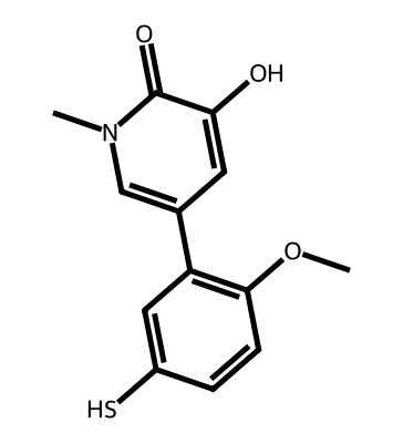 COc1ccc(S)cc1-c1cc(O)c(=O)n(C)c1